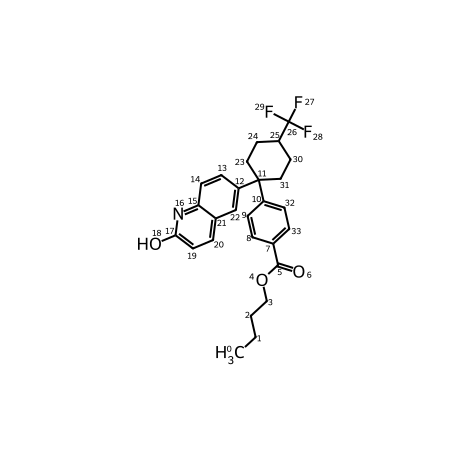 CCCCOC(=O)c1ccc(C2(c3ccc4nc(O)ccc4c3)CCC(C(F)(F)F)CC2)cc1